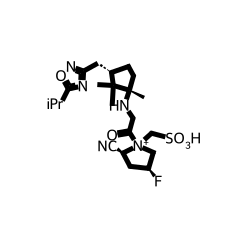 CC(C)c1nc(C[C@@H]2CC[C@](C)(NCC(=O)[N+]3(CS(=O)(=O)O)C[C@@H](F)C[C@H]3C#N)C2(C)C)no1